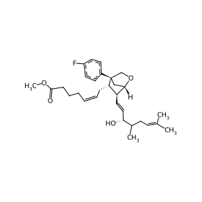 COC(=O)CCC/C=C\C[C@H]1[C@H](/C=C/[C@@H](O)C(C)CC=C(C)C)[C@@H]2C[C@@]1(c1ccc(F)cc1)CO2